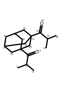 CC(C)C(=O)C12CC3CC(C1)CC(C(=O)C(C)C)(C3)C2